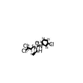 C#CCN(CC=C(Cl)Cl)C(=O)Nc1cccc(Cl)c1